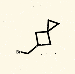 BrCC1CC2(CC2)C1